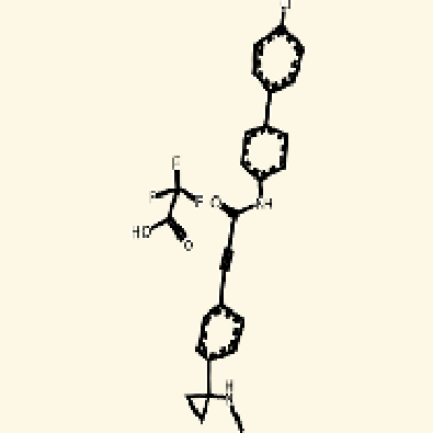 CNC1(c2ccc(C#CC(=O)Nc3ccc(-c4ccc(Cl)cc4)cc3)cc2)CC1.O=C(O)C(F)(F)F